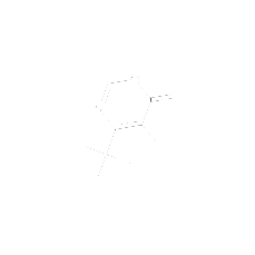 CCc1c(C(C)(C)CC)nc[nH]c1=O